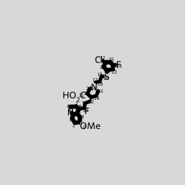 COc1ccc2nccc([C@H](F)CC[C@@H]3CCN(CCCSc4cc(F)cc(Cl)c4)C[C@@H]3C(=O)O)c2c1